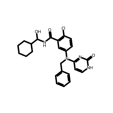 O=C(NC(O)C1CCCCC1)c1cc(N(Cc2ccccc2)c2cc[nH]c(=O)n2)ccc1Cl